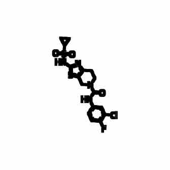 O=C(Nc1ccc(F)c(Cl)c1)N1CCc2nc(NS(=O)(=O)C3CC3)sc2C1